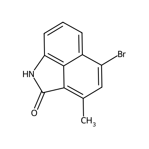 Cc1cc(Br)c2cccc3c2c1C(=O)N3